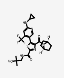 CC(C)(O)CNC(=O)c1nc(C(=O)N2[C@H]3CC[C@@H]2CC3)c(-c2cnc(NC3CC3)cc2C(F)(F)F)s1